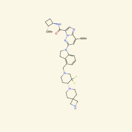 CNc1cc(N2CCc3c(CN4CC[C@@H](N5CCC6(CC5)CNC6)C(F)(F)C4)cccc32)nn2c(C(=O)N[C@@H]3CC[C@H]3OC)cnc12